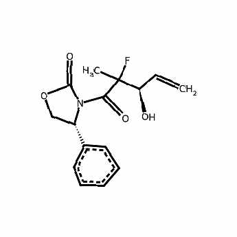 C=C[C@@H](O)C(C)(F)C(=O)N1C(=O)OC[C@H]1c1ccccc1